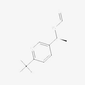 C[C@H](N[C]=O)c1ccc(C(F)(F)F)nc1